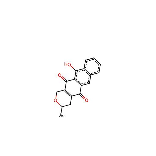 CC(=O)C1CC2=C(CO1)C(=O)c1c(cc3ccccc3c1O)C2=O